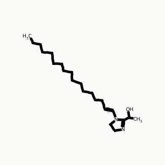 CCCCCCCCCCCCCCC/C=C/N1CCN=C1C(C)O